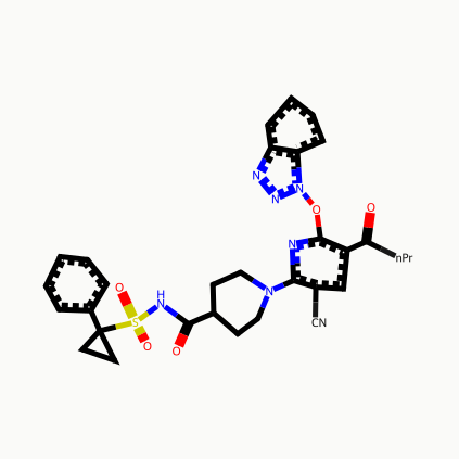 CCCC(=O)c1cc(C#N)c(N2CCC(C(=O)NS(=O)(=O)C3(c4ccccc4)CC3)CC2)nc1On1nnc2ccccc21